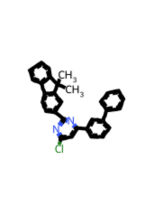 CC1(C)c2ccccc2-c2ccc(-c3nc(Cl)cc(-c4cccc(-c5ccccc5)c4)n3)cc21